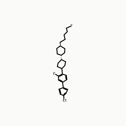 CCc1ccc(-c2ccc(C3CCC([C@H]4CC[C@H](CCCCCF)CC4)CC3)c(F)c2)cc1